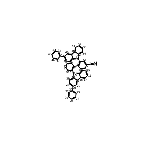 N#Cc1ccc(-c2ccncc2-n2c3ccccc3c3cc(-c4ccccc4)ccc32)c(-n2c3ccccc3c3cc(-c4ccccc4)ccc32)c1